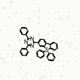 c1ccc(-c2nc(-c3ccccc3)nc(-c3ccc4c(c3)S(c3ccccc3)(c3ccccc3)c3ccccc3-4)n2)cc1